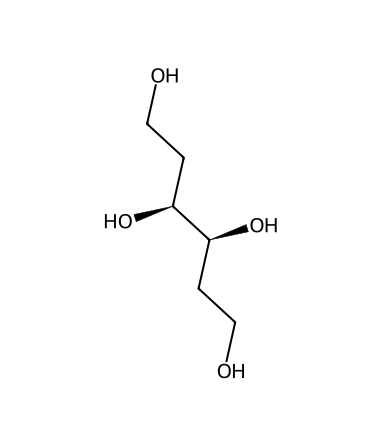 OCC[C@H](O)[C@@H](O)CCO